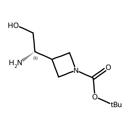 CC(C)(C)OC(=O)N1CC([C@H](N)CO)C1